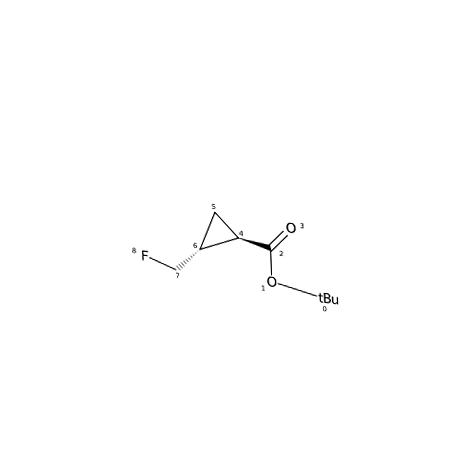 CC(C)(C)OC(=O)[C@@H]1C[C@H]1CF